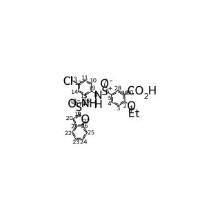 CCOc1ccc([S+]([O-])Nc2ccc(Cl)cc2N[S+]([O-])c2cc3ccccc3o2)cc1C(=O)O